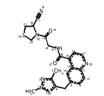 Cc1nn(C)nc1Cc1ccc2nccc(C(=O)NCC(=O)N3CSCC3C#N)c2c1